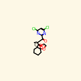 O=C(c1nc(Cl)cc(Cl)n1)C1CCC[C@@]2(CCCCC23OCCO3)C1=O